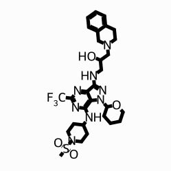 CS(=O)(=O)N1CCC(Nc2nc(C(F)(F)F)nc3c(NCC(O)CN4CCc5ccccc5C4)nn(C4CCCCO4)c23)CC1